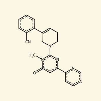 Cn1c(N2CCC=C(c3ccccc3C#N)C2)nc(-c2ccncn2)cc1=O